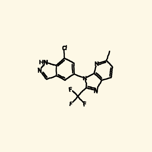 Cc1ccc2nc(C(F)(F)F)n(-c3cc(Cl)c4[nH]ncc4c3)c2n1